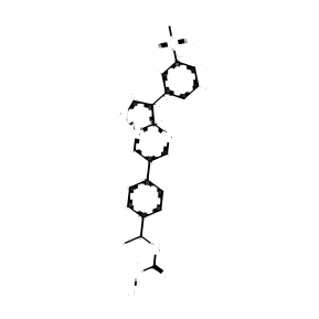 CC(NC(=O)OC(C)(C)C)c1ccc(-c2cnc3c(-c4cccc(S(C)(=O)=O)c4)cnn3c2)cc1